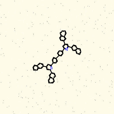 c1ccc2cc(-c3cc(-c4ccc(-c5ccc(-c6cc(-c7ccc8ccccc8c7)cc(-c7ccc8ccccc8c7)n6)cc5)cc4)nc(-c4ccc5ccccc5c4)c3)ccc2c1